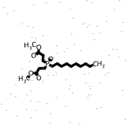 CCCCCCCCCCP(=O)(CCC(=O)OC)CCC(=O)OC